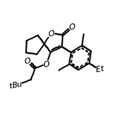 CCc1cc(C)c(C2=C(OC(=O)CC(C)(C)C)C3(CCCC3)OC2=O)c(C)c1